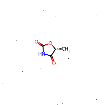 C[C@@H]1OC(=O)NC1=O